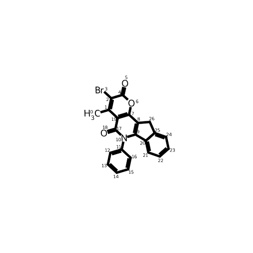 Cc1c(Br)c(=O)oc2c3c(n(-c4ccccc4)c(=O)c12)-c1ccccc1C3